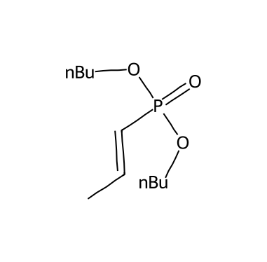 CC=CP(=O)(OCCCC)OCCCC